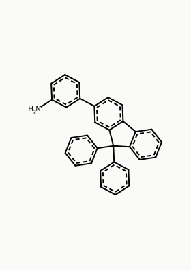 Nc1cccc(-c2ccc3c(c2)C(c2ccccc2)(c2ccccc2)c2ccccc2-3)c1